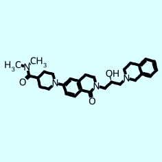 CN(C)C(=O)C1CCN(c2ccc3c(c2)CCN(C[C@H](O)CN2CCc4ccccc4C2)C3=O)CC1